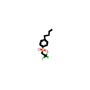 CCCCc1ccc(S(=O)(=O)CC(F)(F)F)cc1